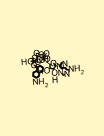 Nc1ccc2c(OP(=O)(O)OP(=O)(O)OP(=O)(O)OC[C@H]3O[C@@H](n4cnc5c(N)ncnc54)[C@H](O)[C@@H]3O)cccc2c1